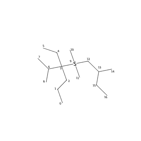 CCCC(CC)(C(C)C)S(C)(C)CC(C)CC